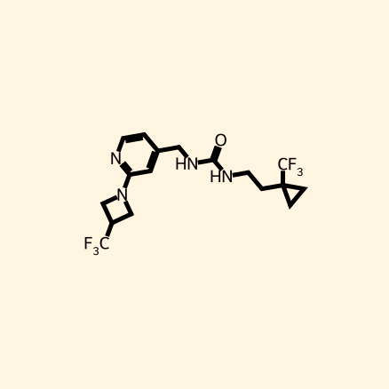 O=C(NCCC1(C(F)(F)F)CC1)NCc1ccnc(N2CC(C(F)(F)F)C2)c1